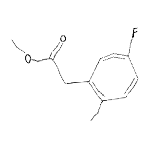 COC(=O)Cc1cc(F)ccc1C